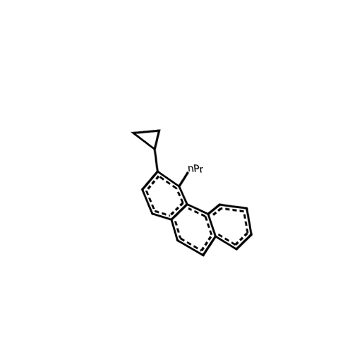 CCCc1c(C2CC2)ccc2ccc3ccccc3c12